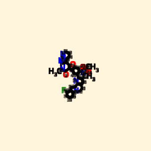 CNC(=O)c1c(-c2cnn3ncccc23)oc2cc(N(C)S(C)(=O)=O)c(-c3ccc4c(n3)-c3cc5c(F)cccc5n3CC4)cc12